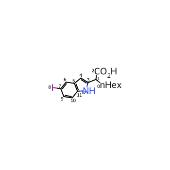 CCCCCCC(C(=O)O)c1cc2cc(I)ccc2[nH]1